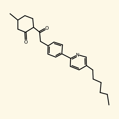 CCCCCCc1ccc(-c2ccc(CC(=O)C3CCC(C)CC3=O)cc2)nc1